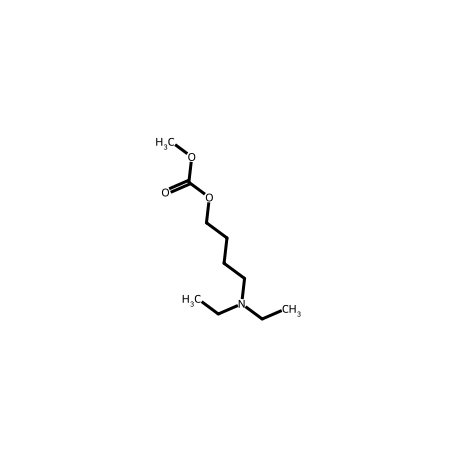 CCN(CC)CCCCOC(=O)OC